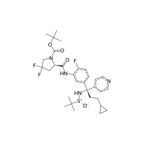 CC(C)(C)OC(=O)N1CC(F)(F)C[C@@H]1C(=O)Nc1cc([C@@](CCC2CC2)(N[S@+]([O-])C(C)(C)C)c2ccncc2)ccc1F